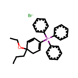 CCCC1(OCC)C=CC([P+](c2ccccc2)(c2ccccc2)c2ccccc2)=CC1.[Br-]